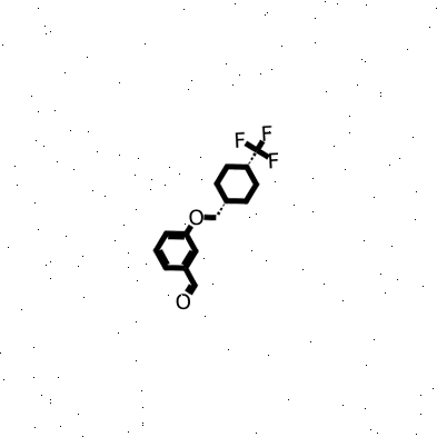 O=Cc1cccc(OC[C@H]2CC[C@@H](C(F)(F)F)CC2)c1